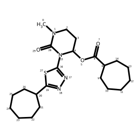 CN1CCC(OC(=O)C2CCCCCC2)N(c2nnc(C3CCCCCC3)s2)C1=O